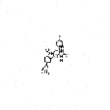 CCOc1ccc2c(c1)CN(C[C@@]1(c3ccc(F)cc3)NC(=O)NC1=O)C2=O